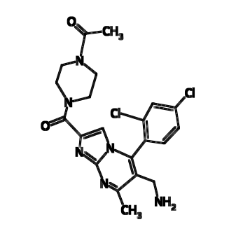 CC(=O)N1CCN(C(=O)c2cn3c(-c4ccc(Cl)cc4Cl)c(CN)c(C)nc3n2)CC1